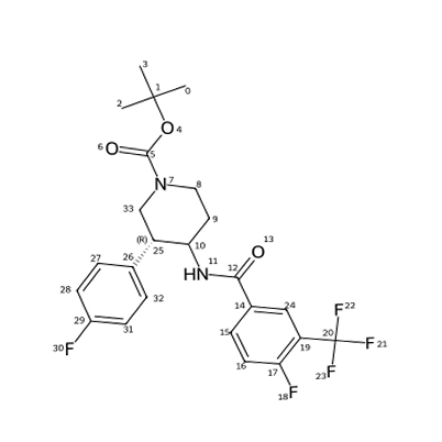 CC(C)(C)OC(=O)N1CCC(NC(=O)c2ccc(F)c(C(F)(F)F)c2)[C@H](c2ccc(F)cc2)C1